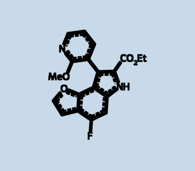 CCOC(=O)c1[nH]c2cc(F)c3ccoc3c2c1-c1cccnc1OC